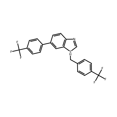 FC(F)(F)c1ccc(C[SH]2C=Nc3ccc(-c4ccc(C(F)(F)F)cc4)cc32)cc1